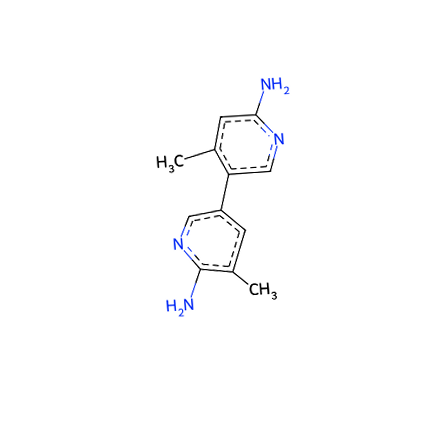 Cc1cc(N)ncc1-c1cnc(N)c(C)c1